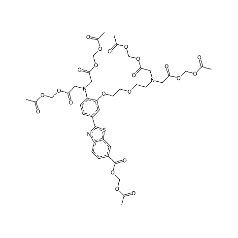 CC(=O)OCOC(=O)CN(CCOCCOc1cc(-c2nc3ccc(C(=O)OCOC(C)=O)cc3s2)ccc1N(CC(=O)OCOC(C)=O)CC(=O)OCOC(C)=O)CC(=O)OCOC(C)=O